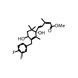 COC(=O)/C=C(C)\C=C\[C@@]1(O)C(C)=C(Cc2ccc(F)c(F)c2)C(O)CC1(C)C